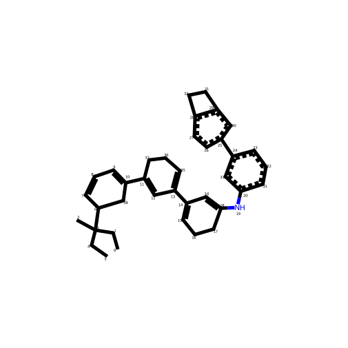 CCC(C)(CC)C1C=CC=C(C2=CC(C3=CCCC(Nc4cccc(-c5ccc6c(c5)CC6)c4)=C3)=CCC2)C1